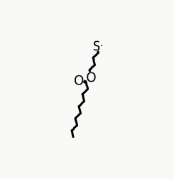 CCCCCCCCCC(=O)OCCCC[S]